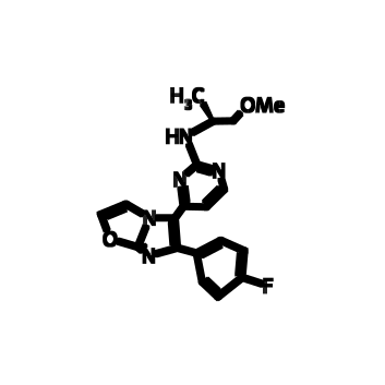 COC[C@H](C)Nc1nccc(-c2c(-c3ccc(F)cc3)nc3occn23)n1